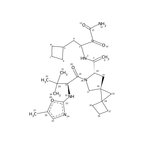 C=C(NC(CC1CCC1)C(=O)C(N)=O)[C@@H]1C[C@@]2(CN1C(=O)[C@@H](Nc1ncc(C)o1)C(C)(C)C)CC21CCC1